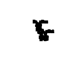 CCCCCCCCCCc1cc2c(cc1Br)sc1cc(-n3nnc4ccccc43)c(OCCCCCCCC)cc12